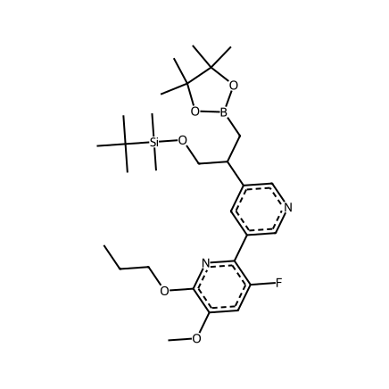 CCCOc1nc(-c2cncc(C(CO[Si](C)(C)C(C)(C)C)CB3OC(C)(C)C(C)(C)O3)c2)c(F)cc1OC